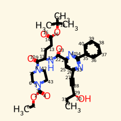 CCOC(=O)N1CCN(C(=O)C(CCC(=O)OC(C)(C)C)NC(=O)c2cc(C#C[C@@H](O)CC)nc(-c3ccccc3)n2)CC1